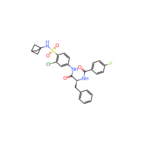 O=C(N[C@@H](Cc1ccccc1)C(=O)Nc1ccc(S(=O)(=O)NC23CC(C2)C3)c(Cl)c1)c1ccc(F)cc1